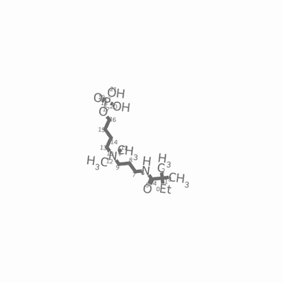 CCC(C)(C)C(=O)NCCC[N+](C)(C)CCCCOP(=O)(O)O